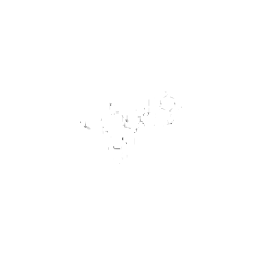 CC(C)(C)OC(=O)N[C@H]1CN(CC#N)CC[C@H]2CC[C@@H](C(=O)N[C@@H]3CCOc4ccccc43)N2C1=O